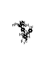 CCCn1cc(-c2ccc(CNc3ncc(CC(F)(F)F)cc3C(=O)Nc3ccc(F)cc3)cc2)c2c(N)ncnc21